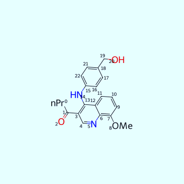 CCCC(=O)c1cnc2c(OC)cccc2c1Nc1ccc(CO)cc1